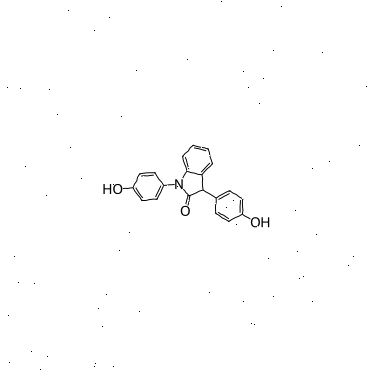 O=C1C(c2ccc(O)cc2)c2ccccc2N1c1ccc(O)cc1